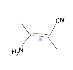 C/C(N)=C(/C)C#N